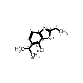 CCc1nc2ccc(C(C)C)c(Cl)c2s1